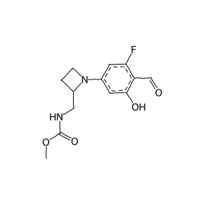 COC(=O)NCC1CCN1c1cc(O)c(C=O)c(F)c1